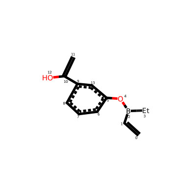 C=CB(CC)Oc1cccc(C(=C)O)c1